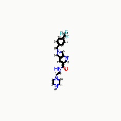 CN1CCN(CCNC(=O)c2cnc3c(c2)CN(Cc2ccc(C(F)(F)F)cc2)C3)CC1